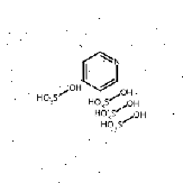 O=S(=O)(O)O.O=S(=O)(O)O.O=S(=O)(O)O.O=S(=O)(O)O.c1ccncc1